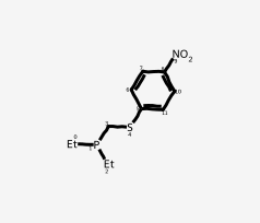 CCP(CC)CSc1ccc([N+](=O)[O-])cc1